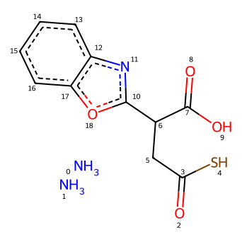 N.N.O=C(S)CC(C(=O)O)c1nc2ccccc2o1